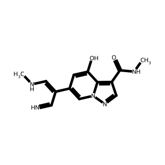 CN/C=C(\C=N)c1cc(O)c2c(C(=O)NC)cnn2c1